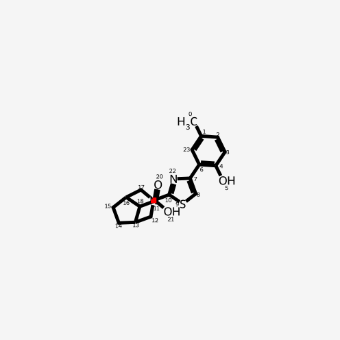 Cc1ccc(O)c(-c2csc(N3CC4CCC(C3)C4C(=O)O)n2)c1